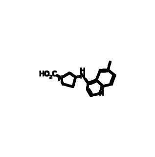 Cc1ccc2nccc(NC3CCN(C(=O)O)C3)c2c1